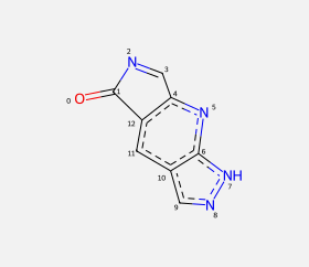 O=C1N=Cc2nc3[nH]ncc3cc21